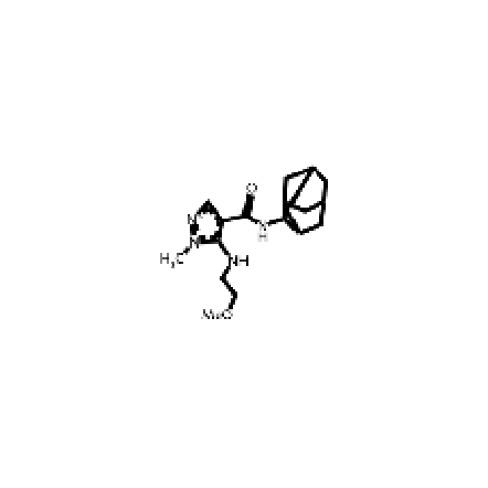 COCCNc1c(C(=O)NC2C3CC4CC(C3)CC2C4)cnn1C